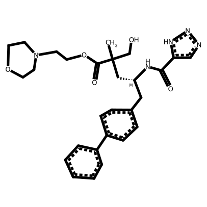 CC(CO)(C[C@@H](Cc1ccc(-c2ccccc2)cc1)NC(=O)c1cnn[nH]1)C(=O)OCCN1CCOCC1